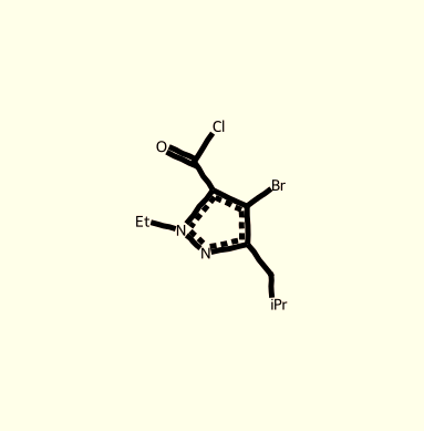 CCn1nc(CC(C)C)c(Br)c1C(=O)Cl